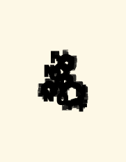 N#Cc1c(F)cccc1-c1cc2c(n(C3=CCCN=C3)c1=O)COC/C=C(F)\C=N/C2